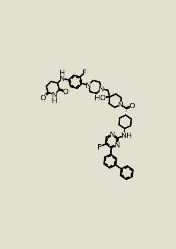 O=C1CCC(Nc2ccc(N3CCN(CC4(O)CCN(C(=O)[C@H]5CC[C@H](Nc6ncc(F)c(-c7cccc(-c8ccccc8)c7)n6)CC5)CC4)CC3)c(F)c2)C(=O)N1